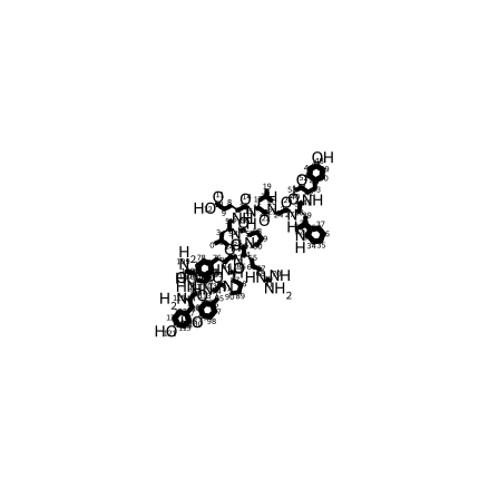 CC(C)C[C@@H](CN[C@@H](CCC(=O)O)C(=O)N[C@@H](CC(C)C)C(=O)NCC(=O)N[C@@H](Cc1c[nH]c2ccccc12)C(=O)NC(Cc1ccc(O)cc1)C(=O)I)NC(=O)[C@@H]1CCCN1C(=O)[C@H](CCCNC(=N)N)NC(=O)[C@H](Cc1ccc(O)cc1)NC(=O)[C@@H]1CCCN1C(=O)[C@H](Cc1ccc(O)cc1)NC(=O)[C@H](CC(N)=O)NC(=O)[C@H](N)Cc1ccc(O)cc1